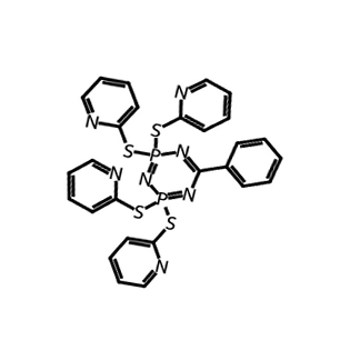 c1ccc(C2=NP(Sc3ccccn3)(Sc3ccccn3)=NP(Sc3ccccn3)(Sc3ccccn3)=N2)cc1